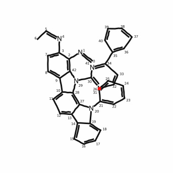 C=Nc1c(/N=C\C)ccc2c3ccc4c5ccccc5n(-c5ccccc5)c4c3n(-c3nccc(-c4ccccc4)n3)c12